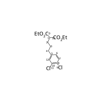 CCOC(=O)C(CCCc1ccc(Cl)c(Cl)c1)C(=O)OCC